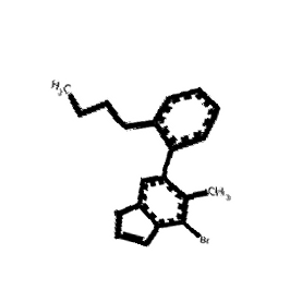 CCCCc1ccccc1-c1cc2c(c(Br)c1C)C=CC2